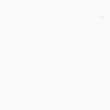 CCCCCCCCCCCCCCCCCCC1CCC(c2ccc(F)cc2)CC1